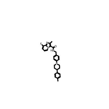 Cc1ccc(C2CCN(c3ccc(CNC(=O)c4c(C)nc5c(F)cccn45)cc3)CC2)cc1